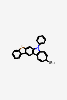 CC(C)(C)C1C=Cc2c(n(-c3ccccc3)c3cc4sc5ccccc5c4cc23)C=C1